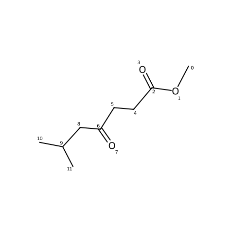 COC(=O)CCC(=O)CC(C)C